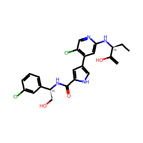 C=C(O)[C@H](CC)Nc1cc(-c2c[nH]c(C(=O)N[C@H](CO)c3cccc(Cl)c3)c2)c(Cl)cn1